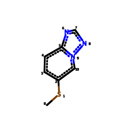 CSc1ccc2ncnn2c1